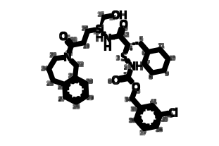 O=C(NS[C@@H](CC1CCCCC1)C(=O)N[Si@H](CO)CCC(=O)N1CCCc2ccccc2C1)OCc1cccc(Cl)c1